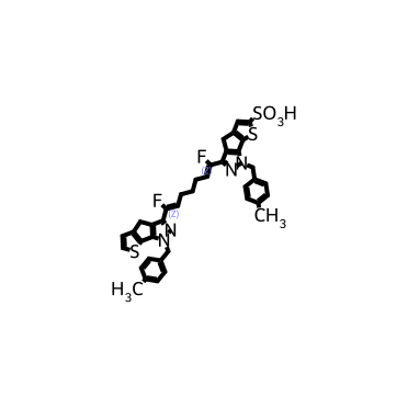 Cc1ccc(Cn2nc(/C(F)=C/CCC/C=C(\F)c3nn(Cc4ccc(C)cc4)c4c3Cc3cc(S(=O)(=O)O)sc3-4)c3c2-c2sccc2C3)cc1